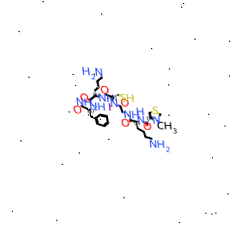 CN1CSC[C@H]1C(=O)N[C@@H](CCCCN)C(=O)NCC(=O)N(I)[C@@H](CS)C(=O)N[C@@H](CCCCN)C(=O)N[C@@H](Cc1ccccc1)C(N)=O